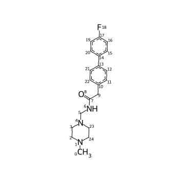 CN1CCN(CNC(=O)Cc2ccc(-c3ccc(F)cc3)cc2)CC1